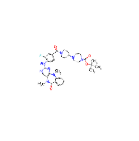 CN1C(=O)c2ccccc2N(C)c2nc(Nc3ccc(C(=O)N4CCC(N5CCN(C(=O)OC(C)(C)C)CC5)CC4)cc3F)ncc21